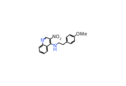 COc1ccc(CCNc2c([N+](=O)[O-])cnc3ccccc23)cc1